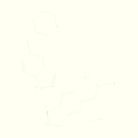 CC(C)Oc1c(CN(C)C)cc(-c2cc3cc(CN4CCCCC4)ccc3[nH]2)c2c1CNC2=O